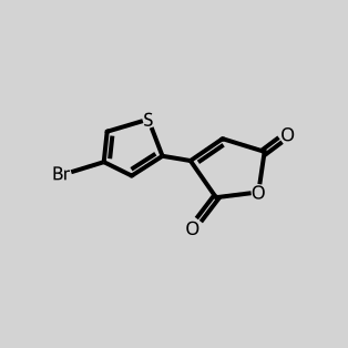 O=C1C=C(c2cc(Br)cs2)C(=O)O1